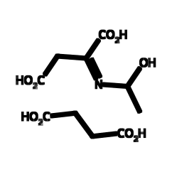 CC(O)N=C(CC(=O)O)C(=O)O.O=C(O)CCC(=O)O